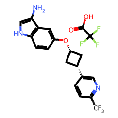 Nc1c[nH]c2ccc(O[C@H]3C[C@@H](c4ccc(C(F)(F)F)nc4)C3)cc12.O=C(O)C(F)(F)F